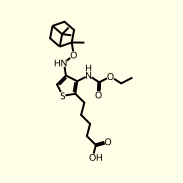 CCOC(=O)Nc1c(NOC2(C)CCC3CC2C3(C)C)csc1CCCCC(=O)O